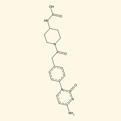 Nc1ccn(-c2ccc(CC(=O)N3CCC(NC(=O)O)CC3)cc2)c(=O)n1